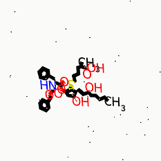 CCCCC[C@H](O)C=C[C@@H]1C(SCCCCC(C)C(=O)O)=C(OC(=O)[C@H](Cc2ccccc2)NC(=O)OCc2ccccc2)C[C@H]1O